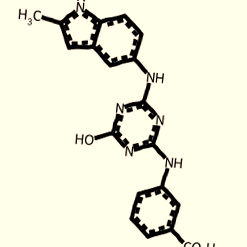 Cc1cc2cc(Nc3nc(O)nc(Nc4cccc(C(=O)O)c4)n3)ccc2[nH]1